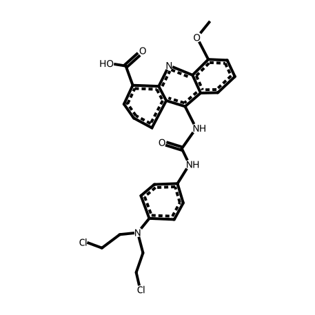 COc1cccc2c(NC(=O)Nc3ccc(N(CCCl)CCCl)cc3)c3cccc(C(=O)O)c3nc12